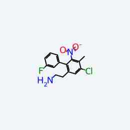 Cc1c(Cl)cc(CCN)c(-c2cccc(F)c2)c1[N+](=O)[O-]